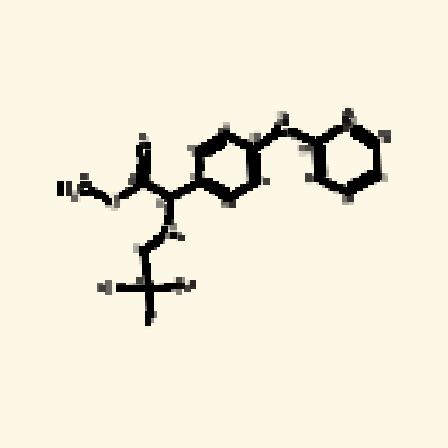 COC(=O)C(OCC(F)(F)F)c1ccc(Oc2ccccn2)cc1